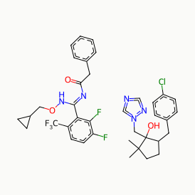 CC1(C)CCC(Cc2ccc(Cl)cc2)C1(O)Cn1cncn1.O=C(Cc1ccccc1)/N=C(\NOCC1CC1)c1c(C(F)(F)F)ccc(F)c1F